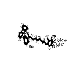 COC1=C(OC)C(=O)C(CCCCCCCCCC[P+](c2ccccc2)(c2ccccc2)c2ccccc2)=C(C)C1=O.[Br-]